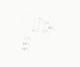 C=C.C=C.Cc1ccccc1.N.N.N